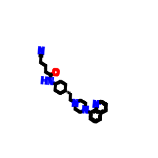 N#CCCCC(=O)N[C@H]1CC[C@H](CCN2CCN(c3cccc4cccnc34)CC2)CC1